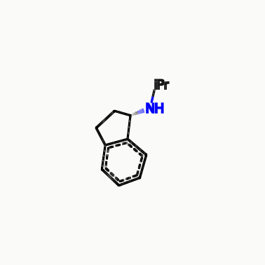 CC(C)N[C@H]1CCc2ccccc21